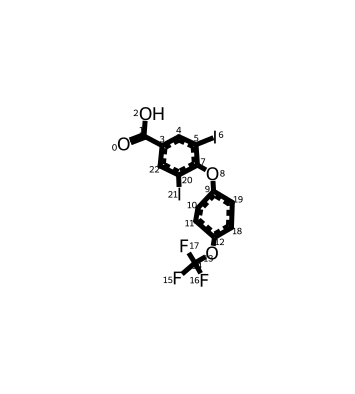 O=C(O)c1cc(I)c(Oc2ccc(OC(F)(F)F)cc2)c(I)c1